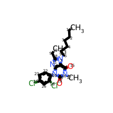 CCCCCCCn1c(CC)nc2c1c(=O)n(C)c(=O)n2-c1ccc(Cl)cc1Cl